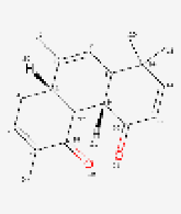 CC1=CC[C@@H]2C(C)=CC3[C@H](C(=O)C=CC3(C)C)C2C1=O